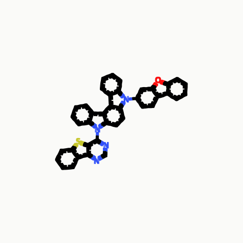 c1ccc2c(c1)oc1cc(-n3c4ccccc4c4c5c6ccccc6n(-c6ncnc7c6sc6ccccc67)c5ccc43)ccc12